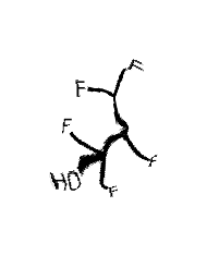 OC(F)(F)C(F)C(F)F